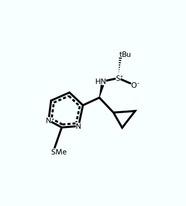 CSc1nccc([C@@H](N[S@@+]([O-])C(C)(C)C)C2CC2)n1